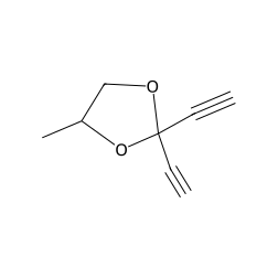 C#CC1(C#C)OCC(C)O1